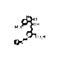 COc1ccc2ncc(Cl)c(C(O)CCC3CCN(CCSc4cccs4)CC3CC(=O)O)c2c1